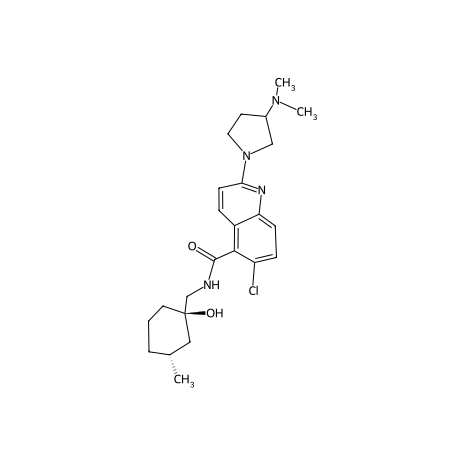 C[C@@H]1CCC[C@](O)(CNC(=O)c2c(Cl)ccc3nc(N4CCC(N(C)C)C4)ccc23)C1